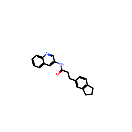 O=C(CCc1ccc2c(c1)CCC2)Nc1cnc2ccccc2c1